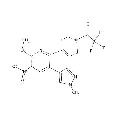 COc1nc(C2=CCN(C(=O)C(F)(F)F)CC2)c(-c2cnn(C)c2)cc1[N+](=O)[O-]